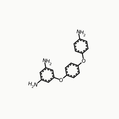 Nc1ccc(Oc2ccc(Oc3cc(N)cc(N)c3)cc2)cc1